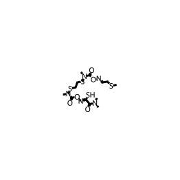 CSCC=NOC(=O)N(C)SCCSN(C)C(=O)ON=C(S)C(=O)N(C)C